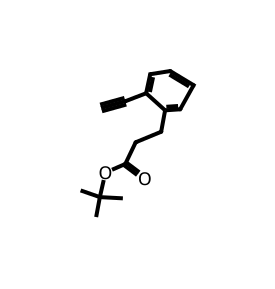 C#Cc1ccccc1CCC(=O)OC(C)(C)C